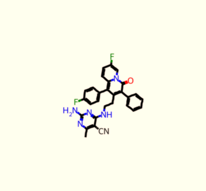 Cc1nc(N)nc(NCCc2c(-c3ccccc3)c(=O)n3cc(F)ccc3c2-c2ccc(F)cc2)c1C#N